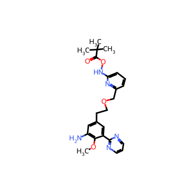 COc1c(N)cc(CCOCc2cccc(NOC(=O)C(C)(C)C)n2)cc1-c1ncccn1